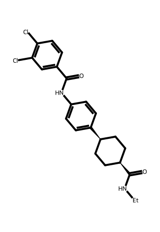 CCNC(=O)[C@H]1CC[C@@H](c2ccc(NC(=O)c3ccc(Cl)c(Cl)c3)cc2)CC1